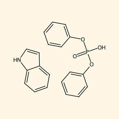 O=P(O)(Oc1ccccc1)Oc1ccccc1.c1ccc2[nH]ccc2c1